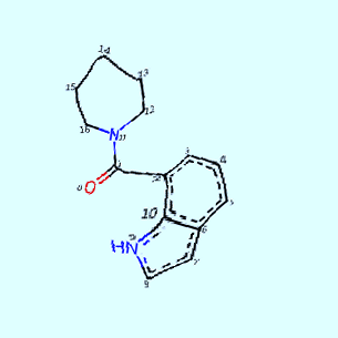 O=C(c1cccc2cc[nH]c12)N1CCCCC1